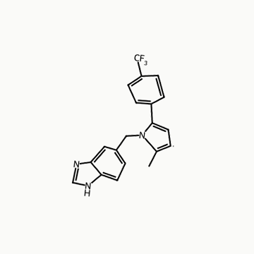 Cc1[c]cc(-c2ccc(C(F)(F)F)cc2)n1Cc1ccc2[nH]cnc2c1